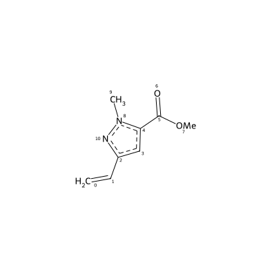 C=Cc1cc(C(=O)OC)n(C)n1